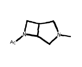 CC(=O)N1CC2CN(C)CC21